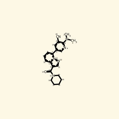 CN(C)c1ncc(-c2cccc3c(C(=O)N4CCCCC4)cnn23)cc1C#N